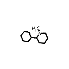 CN1CCCCC1C1CCCCC1